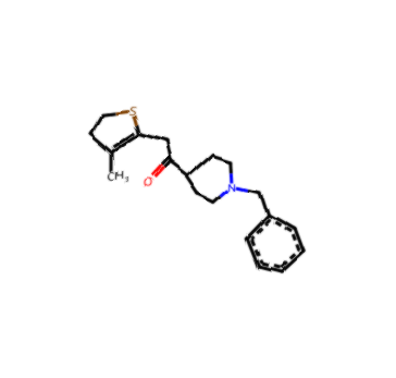 CC1=C(CC(=O)C2CCN(Cc3ccccc3)CC2)SCC1